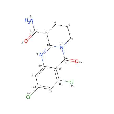 NC(=O)[C@@H]1CCCn2c1nc1cc(Cl)cc(Cl)c1c2=O